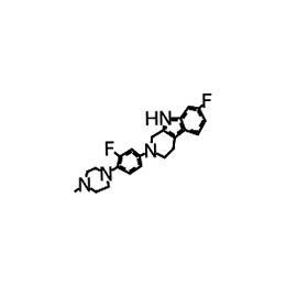 CN1CCN(c2ccc(N3CCc4c([nH]c5cc(F)ccc45)C3)cc2F)CC1